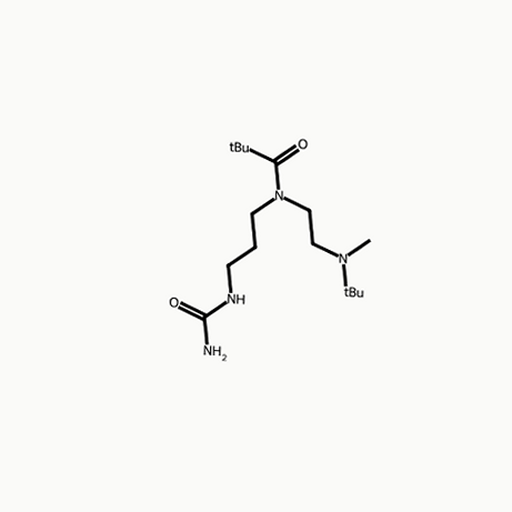 CN(CCN(CCCNC(N)=O)C(=O)C(C)(C)C)C(C)(C)C